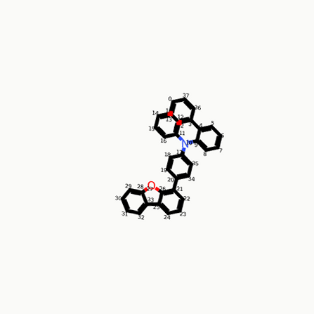 c1ccc(-c2ccccc2N(c2ccccc2)c2ccc(-c3cccc4c3oc3ccccc34)cc2)cc1